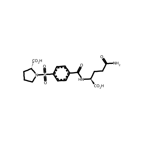 NC(=O)CC[C@H](NC(=O)c1ccc(S(=O)(=O)N2CCC[C@@H]2C(=O)O)cc1)C(=O)O